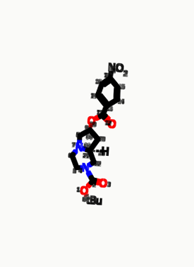 CC(C)(C)OC(=O)N1CCN2C[C@@H](OC(=O)c3ccc([N+](=O)[O-])cc3)C[C@H]2C1